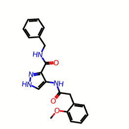 COc1ccccc1CC(=O)Nc1c[nH]nc1C(=O)NCc1ccccc1